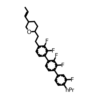 C/C=C/C1CCC(CCc2ccc(-c3ccc(-c4ccc(CCC)c(F)c4)c(F)c3F)c(F)c2F)OC1